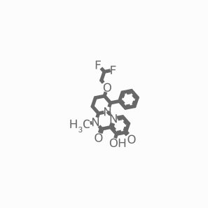 CN1C(=O)c2c(O)c(=O)ccn2N2C(c3ccccc3)C(OCC(F)F)CCC12